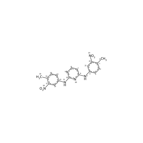 Cc1ccc(Nc2ccnc(Nc3ccc(C)c([N+](=O)[O-])c3)n2)cc1[N+](=O)[O-]